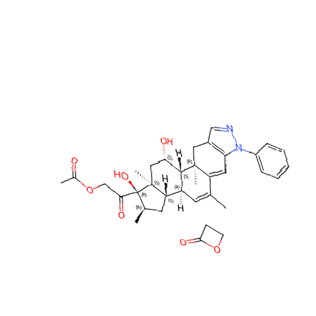 CC(=O)OCC(=O)[C@@]1(O)[C@H](C)C[C@H]2[C@@H]3C=C(C)C4=Cc5c(cnn5-c5ccccc5)C[C@]4(C)[C@H]3[C@@H](O)C[C@@]21C.O=C1CCO1